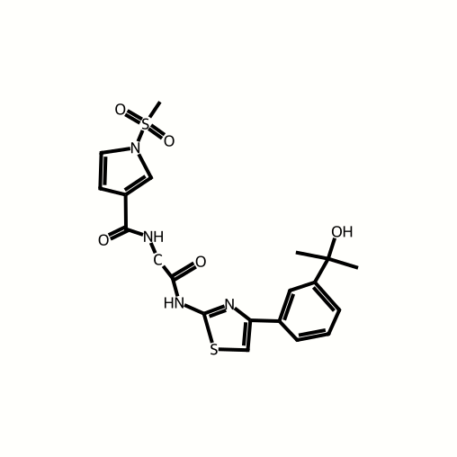 CC(C)(O)c1cccc(-c2csc(NC(=O)CNC(=O)c3ccn(S(C)(=O)=O)c3)n2)c1